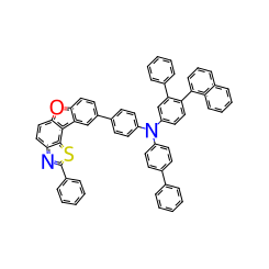 c1ccc(-c2ccc(N(c3ccc(-c4ccc5oc6ccc7nc(-c8ccccc8)sc7c6c5c4)cc3)c3ccc(-c4cccc5ccccc45)c(-c4ccccc4)c3)cc2)cc1